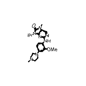 COc1cc(N2CCN(C)CC2)ccc1Nc1ncc2c(n1)n(C(C)C)c(=O)n2C